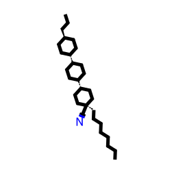 CCCCCCCC[C@]1(C#N)CC[C@H](C2CCC([C@H]3CC[C@H](CCC)CC3)CC2)CC1